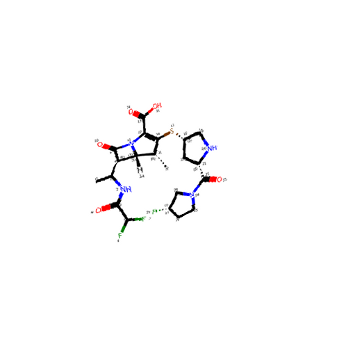 CC(NC(=O)C(F)F)[C@H]1C(=O)N2C(C(=O)O)=C(S[C@@H]3CN[C@H](C(=O)N4CC[C@H](F)C4)C3)[C@H](C)[C@H]12